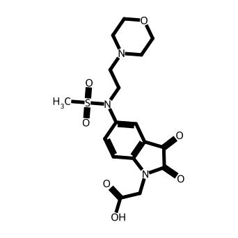 CS(=O)(=O)N(CCN1CCOCC1)c1ccc2c(c1)C(=O)C(=O)N2CC(=O)O